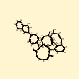 C=c1ccccc(=C)c(-c2cccc3c2C=CC(C)C=C3)c2c(c1-c1ccc(-c3ccc4ccccc4c3)cc1)C=CC(C)C=C2